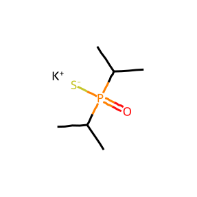 CC(C)P(=O)([S-])C(C)C.[K+]